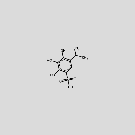 CC(C)c1cc(S(=O)(=O)O)c(O)c(O)c1O